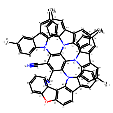 Cc1ccc2c(c1)c1cc(C)ccc1n2-c1c(C#N)c(C#N)c(-n2c3ccccc3c3ccc4oc5ccccc5c4c32)c(-n2c3ccc(C)cc3c3cc(C)ccc32)c1-n1c2ccc(C)cc2c2cc(C)ccc21